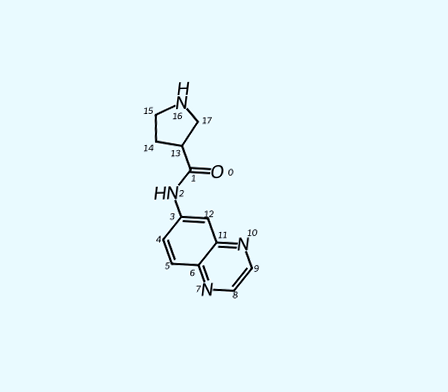 O=C(Nc1ccc2nccnc2c1)C1CCNC1